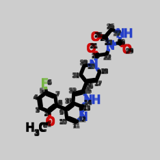 COc1ccc(F)cc1-c1ccnc2[nH]c(C3=CCN(C(=O)CN4C(=O)CNC4=O)CC3)cc12